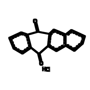 Cl.O=C1c2ccccc2C(=O)c2cc3ccccc3cc21